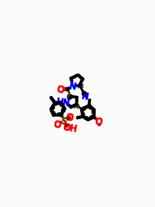 COc1cc(C)c([C@@H]2CN[C@H](C(=O)N3CCC[C@H]3C#N)C2)c(C)c1.Cc1ccc(S(=O)(=O)O)cc1